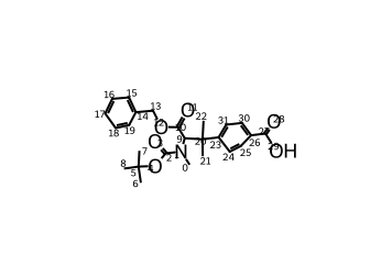 CN(C(=O)OC(C)(C)C)C(C(=O)OCc1ccccc1)C(C)(C)c1ccc(C(=O)O)cc1